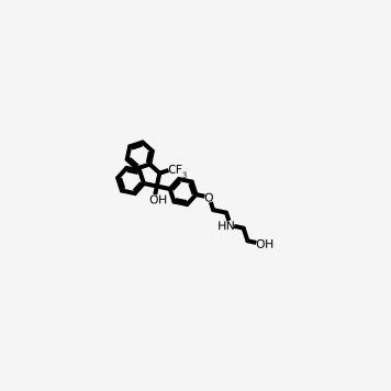 OCCNCCOc1ccc(C(O)(c2ccccc2)C(c2ccccc2)C(F)(F)F)cc1